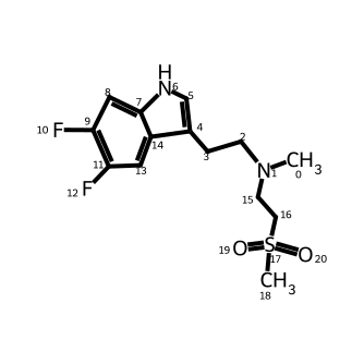 CN(CCc1c[nH]c2cc(F)c(F)cc12)CCS(C)(=O)=O